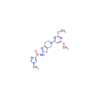 COc1cc(N2CCc3nc(NC(=O)c4cn(C)cn4)sc3C2)nc(OC)n1